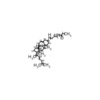 CCC(=O)NCCCN[C@H]1CCC2(C)C(=CC[C@H]3C2CCC2(C)C([C@H](C)CCCC(C)C)CC[C@@H]32)C1